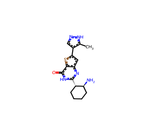 Cc1[nH]ncc1-c1cc2nc([C@H]3CCCC[C@@H]3N)[nH]c(=O)c2s1